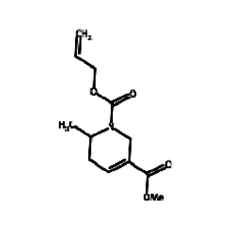 C=CCOC(=O)N1CC(C(=O)OC)=CCC1C